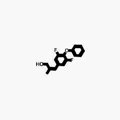 CC(=Cc1cc(F)c(Oc2ccccc2)c(F)c1)CO